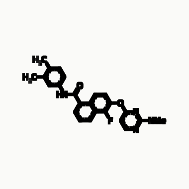 CNc1nccc(Oc2ccc3c(C(=O)Nc4ccc(C)c(C)c4)cccc3c2F)n1